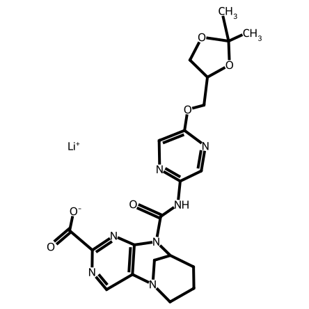 CC1(C)OCC(COc2cnc(NC(=O)N3c4nc(C(=O)[O-])ncc4N4CCCC3C4)cn2)O1.[Li+]